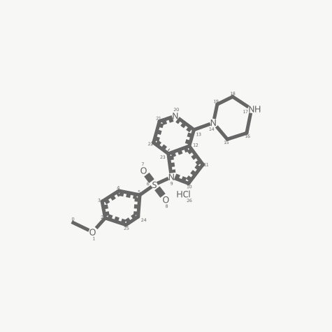 COc1ccc(S(=O)(=O)n2ccc3c(N4CCNCC4)nccc32)cc1.Cl